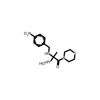 CCCC(C)(NCc1ccc([N+](=O)[O-])cc1)C(=O)N1CCSCC1.Cl